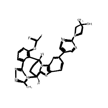 Cc1nnc2n1[C@@H]1C[C@H](c3c(OC(F)F)cccc3-2)n2c1nc1ccc(-c3cnc(N4CC(O)(C(F)(F)F)C4)nc3)cc12